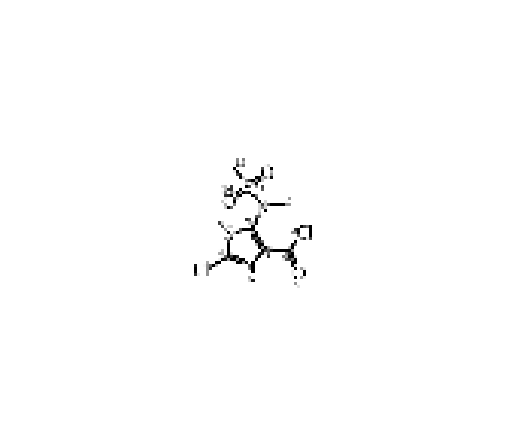 CN(c1sc(Cl)nc1C(=O)Cl)S(C)(=O)=O